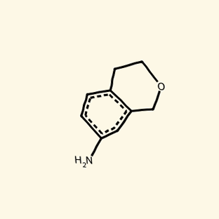 Nc1ccc2c(c1)COCC2